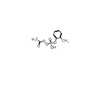 CC(=O)OOP(=O)(O)Oc1ccccc1C